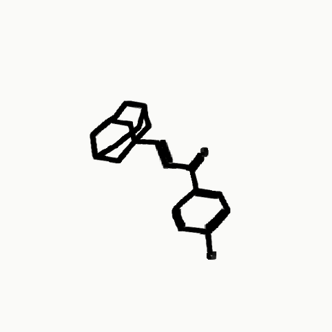 O=C(C=CC12CC3CC(CC(C3)C1)C2)c1ccc(Cl)cc1